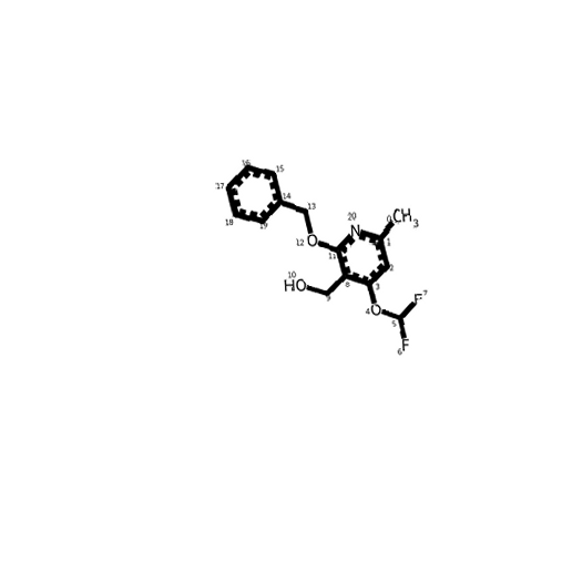 Cc1cc(OC(F)F)c(CO)c(OCc2ccccc2)n1